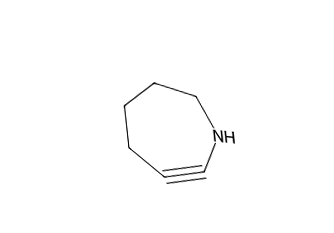 C1#CNCCCC1